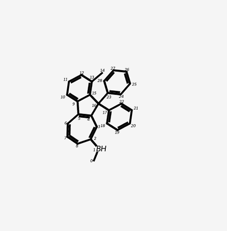 CBC1=CC2=C(C=C=C1)c1cccc(C)c1C2(c1ccccc1)c1ccccc1